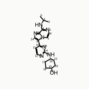 CC(C)Nc1nccn2c(-c3ccnc(N[C@H]4CC[C@H](O)CC4)n3)cnc12